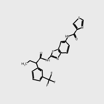 CCC(C(=O)Nc1nc2ccc(NC(=O)c3cscn3)cc2s1)c1cccc(C(F)(F)F)c1